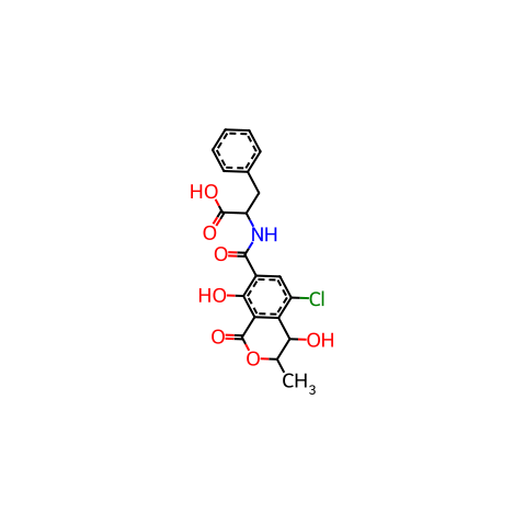 CC1OC(=O)c2c(O)c(C(=O)NC(Cc3ccccc3)C(=O)O)cc(Cl)c2C1O